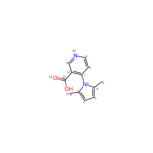 Cc1ccc(C)n1-c1ccncc1C(=O)O